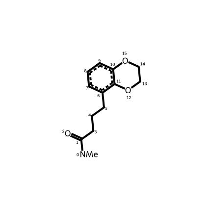 CNC(=O)CCCc1cccc2c1OCCO2